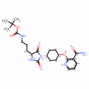 CC(C)(C)OC(=O)NCCCC1NC(=O)N([C@H]2CC[C@H](Oc3ncccc3C(N)=O)CC2)C1=O